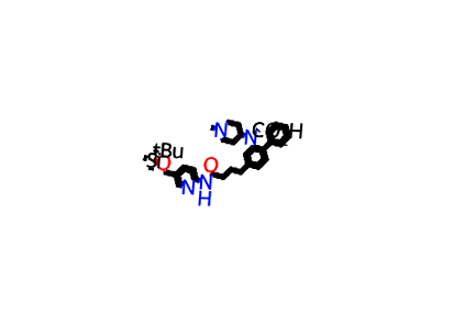 CN1CCC(N(C(=O)O)c2cc(CCCC(=O)Nc3ccc(CO[Si](C)(C)C(C)(C)C)cn3)ccc2-c2ccccc2)CC1